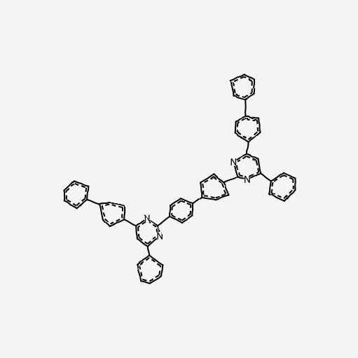 c1ccc(-c2ccc(-c3cc(-c4ccccc4)nc(-c4ccc(-c5ccc(-c6nc(-c7ccccc7)cc(-c7ccc(-c8ccccc8)cc7)n6)cc5)cc4)n3)cc2)cc1